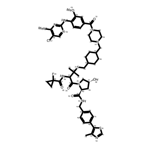 CNc1nc(Nc2ccc(C(=O)N3CCN(CC4CCC(CSC(C)(C)C(NC(=O)C5(F)CC5)C(=O)N5C[C@H](O)C[C@H]5C(=O)NCc5ccc(-c6scnc6C)cc5)CC4)CC3)cc2OC)ncc1Cl